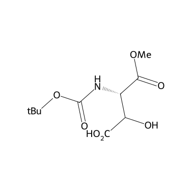 COC(=O)[C@@H](NC(=O)OC(C)(C)C)C(O)C(=O)O